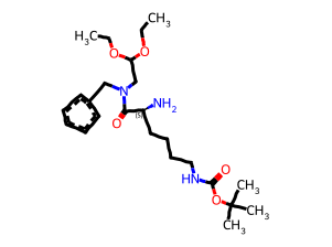 CCOC(CN(Cc1ccccc1)C(=O)[C@@H](N)CCCCNC(=O)OC(C)(C)C)OCC